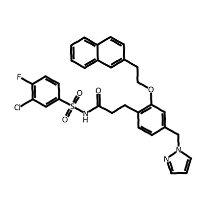 O=C(CCc1ccc(Cn2cccn2)cc1OCCc1ccc2ccccc2c1)NS(=O)(=O)c1ccc(F)c(Cl)c1